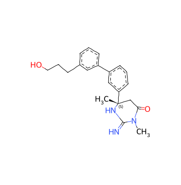 CN1C(=N)N[C@](C)(c2cccc(-c3cccc(CCCO)c3)c2)CC1=O